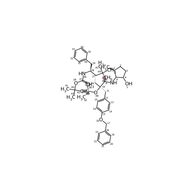 CC1CCC(O)C1NC(=O)[C@](Cc1ccc(OCc2ccccc2)cc1)(C[C@H]([C@H](Cc1ccccc1)NC(=O)OC(C)(C)C)C(C)(C)C)O[SiH](C)C